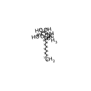 C=CCCCCCCCCO[C@@H]1O[C@H](CO)[C@H](O)[C@H](O)[C@H]1NC(C)=O